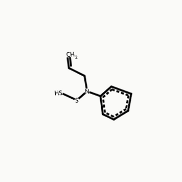 C=CCN(SS)c1ccccc1